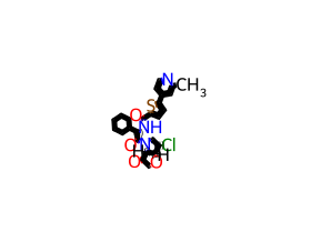 Cc1cc(-c2ccc(C(=O)N[C@H](C(=O)N3C[C@H](Cl)[C@H]4OCC(=O)[C@H]43)C3CCCCC3)s2)ccn1